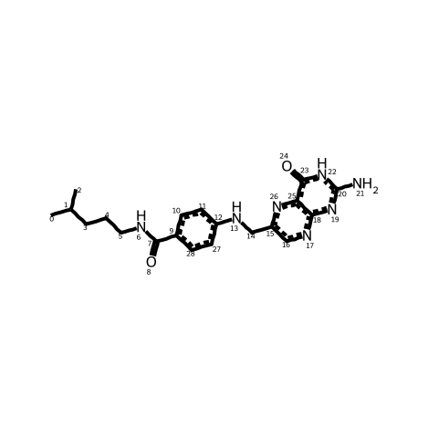 CC(C)CCCNC(=O)c1ccc(NCc2cnc3nc(N)[nH]c(=O)c3n2)cc1